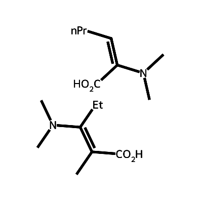 CC/C(=C(/C)C(=O)O)N(C)C.CCC/C=C(\C(=O)O)N(C)C